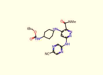 CNC(=O)c1nnc(Nc2cnc(C#N)cn2)cc1NC1CCC(NC(=O)OC(C)(C)C)CC1